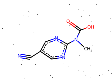 CN(C(=O)O)c1ncc(C#N)cn1